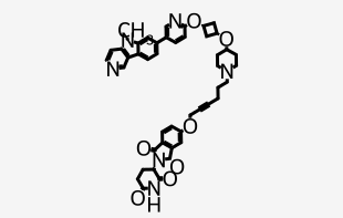 Cn1c2ccncc2c2ccc(-c3ccc(O[C@H]4C[C@H](OC5CCN(CCCC#CCOc6ccc7c(c6)C(=O)N(C6CCC(=O)NC6=O)C7=O)CC5)C4)nc3)cc21